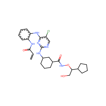 C=CC(=O)Nc1ccccc1Nc1nc(NC2CCCC(C(=O)NOC(CO)C3CCCC3)C2)ncc1Cl